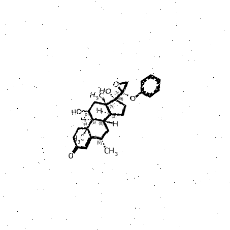 C[C@H]1C[C@@H]2[C@H]([C@@H](O)C[C@@]3(C)[C@H]2CC[C@]3(O)[C@]2(Oc3ccccc3)CO2)[C@@]2(C)CCC(=O)C=C12